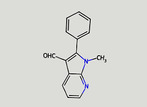 Cn1c(-c2ccccc2)c(C=O)c2cccnc21